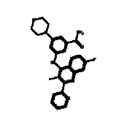 Cc1c(-c2ccccn2)nc2cc(F)ccc2c1Nc1cc(C(N)=O)cc(N2CCOCC2)c1